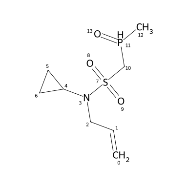 C=CCN(C1CC1)S(=O)(=O)C[PH](C)=O